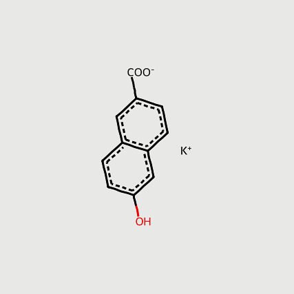 O=C([O-])c1ccc2cc(O)ccc2c1.[K+]